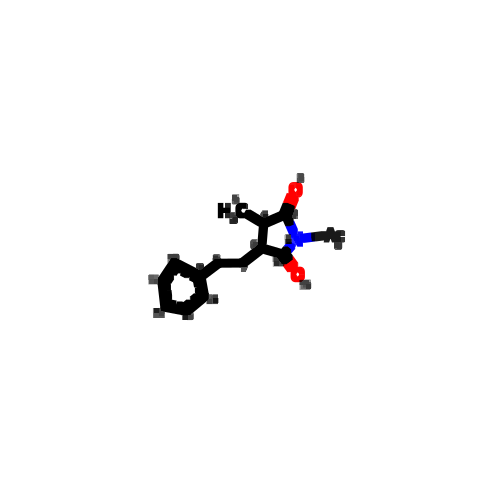 CC(=O)N1C(=O)C(C)C(CCc2ccccc2)C1=O